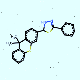 CC1(C)c2ccccc2Sc2cc(C3NN=C(c4ccccc4)S3)ccc21